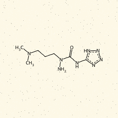 CN(C)CCCN(N)C(=O)Nc1nnn[nH]1